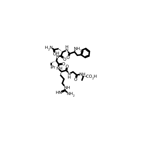 CC(C)C[C@H](NC(=O)[C@H](CC(N)=O)NC(=O)[C@@H](N)Cc1ccccc1)C(=O)N[C@@H](CCCNC(=N)N)C(=O)NCC(=O)N[C@@H](C)C(=O)O